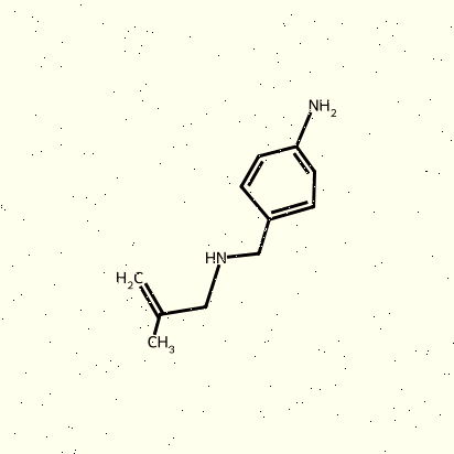 C=C(C)CNCc1ccc(N)cc1